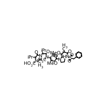 CC[C@H](C)[C@@H]([C@@H](CC(=O)N1CCC[C@H]1[C@H](OC)[C@@H](C)C(=O)NS(=O)(=O)Cc1ccccc1)OC)N(C)C(=O)[C@@H](NC(=O)[C@H](C(C)C)N(C)C(=O)O)C(C)C